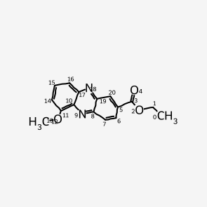 CCOC(=O)c1ccc2nc3c(OC)cccc3nc2c1